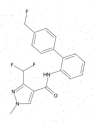 Cn1cc(C(=O)Nc2ccccc2-c2ccc(CF)cc2)c(C(F)F)n1